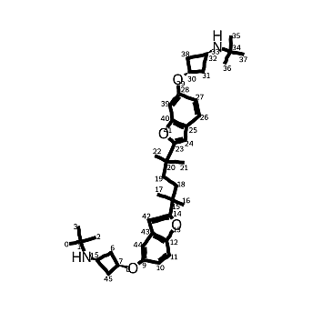 CC(C)(C)N[C@H]1C[C@@H](Oc2ccc3oc(C(C)(C)CCC(C)(C)c4cc5ccc(O[C@H]6C[C@@H](NC(C)(C)C)C6)cc5o4)cc3c2)C1